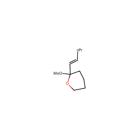 CCCC=CC1(OC)CCCCO1